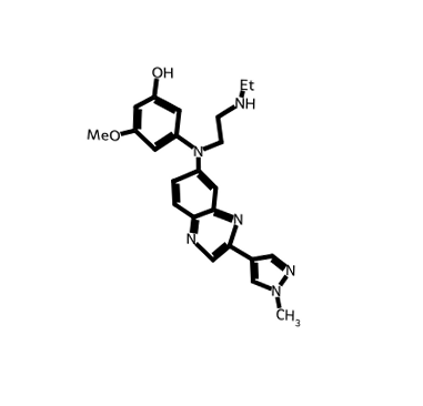 CCNCCN(c1cc(O)cc(OC)c1)c1ccc2ncc(-c3cnn(C)c3)nc2c1